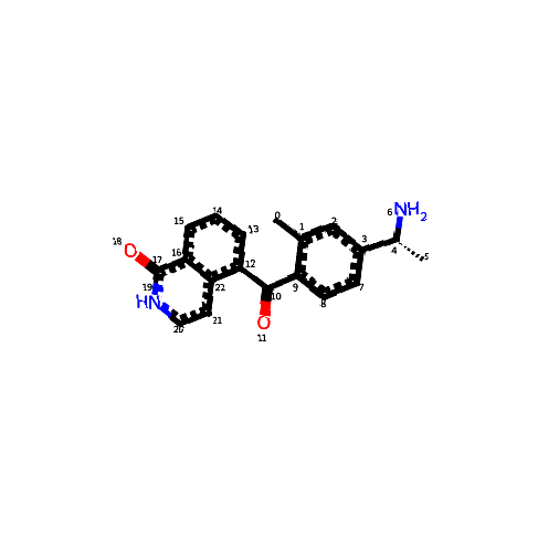 Cc1cc([C@@H](C)N)ccc1C(=O)c1cccc2c(=O)[nH]ccc12